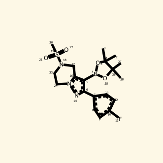 CC1(C)OB(c2c(-c3ccc(F)cc3)nn3c2CN(S(C)(=O)=O)CC3)OC1(C)C